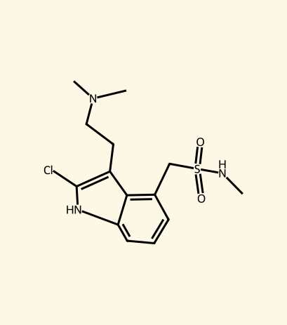 CNS(=O)(=O)Cc1cccc2[nH]c(Cl)c(CCN(C)C)c12